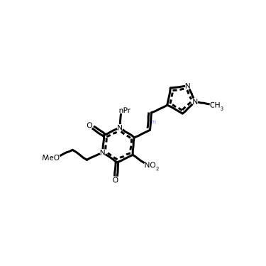 CCCn1c(/C=C/c2cnn(C)c2)c([N+](=O)[O-])c(=O)n(CCOC)c1=O